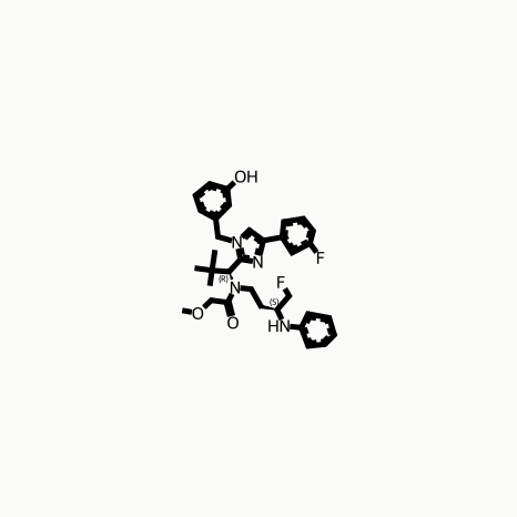 COCC(=O)N(CC[C@@H](CF)Nc1ccccc1)[C@@H](c1nc(-c2cccc(F)c2)cn1Cc1cccc(O)c1)C(C)(C)C